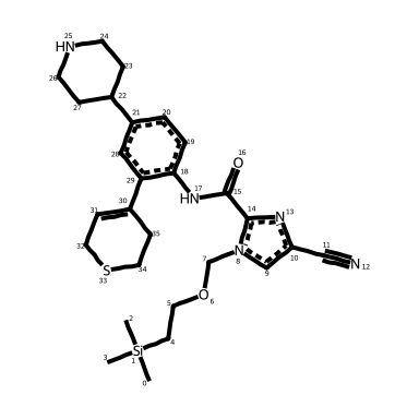 C[Si](C)(C)CCOCn1cc(C#N)nc1C(=O)Nc1ccc(C2CCNCC2)cc1C1=CCSCC1